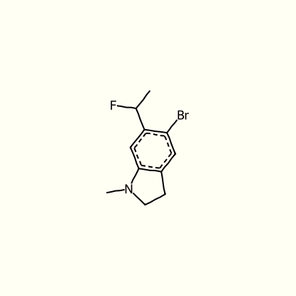 CC(F)c1cc2c(cc1Br)CCN2C